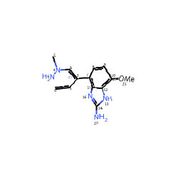 C=C/C(=C\N(C)N)c1ccc(OC)c2[nH]c(N)nc12